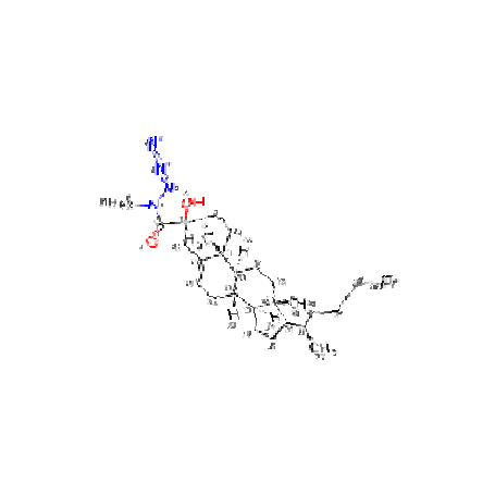 CCCCCCN(N=[N+]=[N-])C(=O)C1(O)CC[C@@]2(C)C(=CC[C@H]3[C@@H]4CC[C@H]([C@H](C)CCCC(C)C)[C@@]4(C)CC[C@@H]32)C1